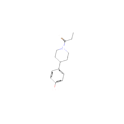 CCC(=S)N1CCC(c2ccc(O)cc2)CC1